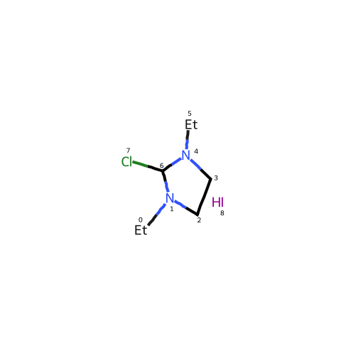 CCN1CCN(CC)C1Cl.I